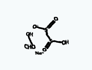 O=CO.O=S([O-])S(=O)O.[Na+]